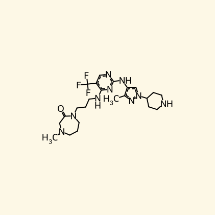 Cc1nn(C2CCNCC2)cc1Nc1ncc(C(F)(F)F)c(NCCCN2CCCN(C)CC2=O)n1